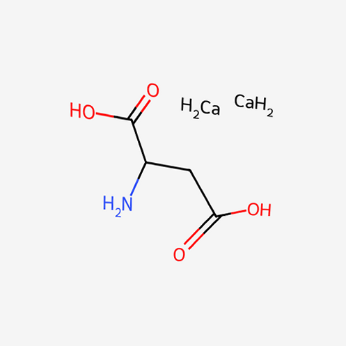 NC(CC(=O)O)C(=O)O.[CaH2].[CaH2]